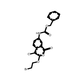 O=C(Nc1ccc2c(Cl)c(OCCBr)oc(=O)c2c1)OCc1ccccc1